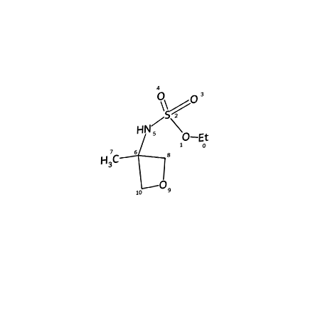 CCOS(=O)(=O)NC1(C)COC1